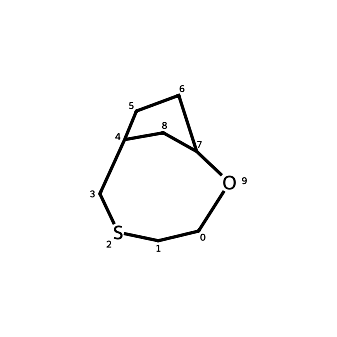 C1CSCC2CCC(C2)O1